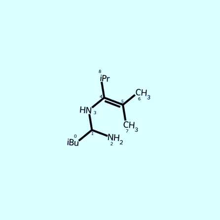 CCC(C)C(N)NC(=C(C)C)C(C)C